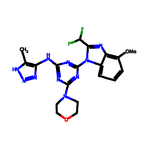 COc1cccc2c1nc(C(F)F)n2-c1nc(Nc2nn[nH]c2C)nc(N2CCOCC2)n1